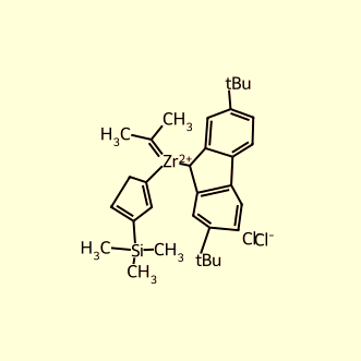 C[C](C)=[Zr+2]([C]1=CC([Si](C)(C)C)=CC1)[CH]1c2cc(C(C)(C)C)ccc2-c2ccc(C(C)(C)C)cc21.[Cl-].[Cl-]